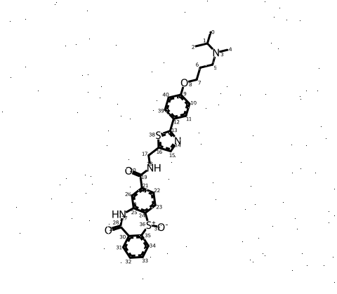 CC(C)N(C)CCCOc1ccc(-c2ncc(CNC(=O)c3ccc4c(c3)NC(=O)c3ccccc3[S+]4[O-])s2)cc1